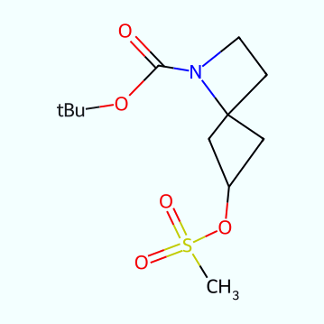 CC(C)(C)OC(=O)N1CCC12CC(OS(C)(=O)=O)C2